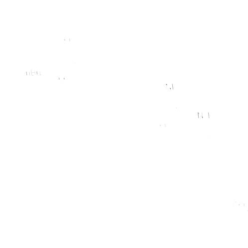 CCCCOC(=O)c1ccc(NC(=O)Nc2ccc(C(=O)OCC)cc2)cc1